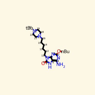 CCCCOc1nc(N)c2[nH]c(=O)n(CCCCCCN3CCN(C(C)(C)C)CC3)c2n1